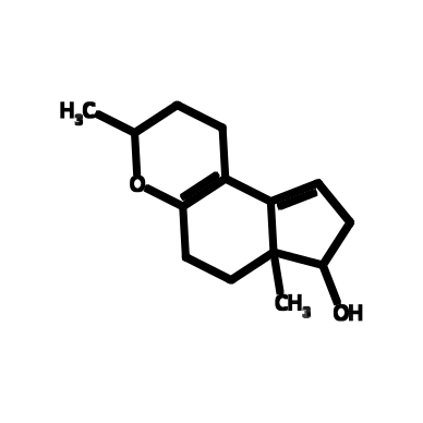 CC1CCC2=C(CCC3(C)C2=CCC3O)O1